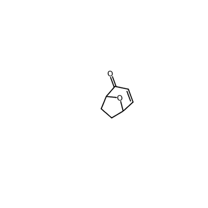 O=C1C=CC2CCC1O2